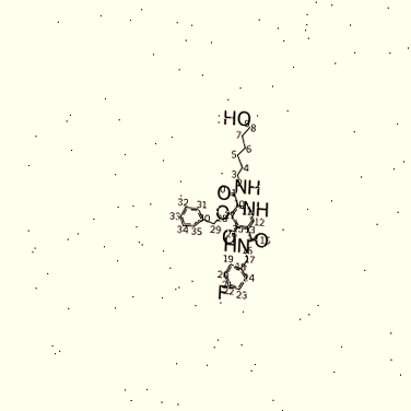 O=C(NCCCCCCO)c1[nH]cc(C(=O)NCc2ccc(F)cc2)c(=O)c1OCc1ccccc1